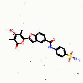 Cc1c(-c2cc3cc(C(=O)Nc4ccc(S(N)(=O)=O)cc4)ccc3o2)oc(=O)c(C)c1O